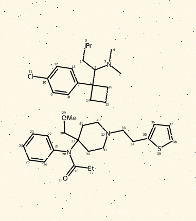 CC(C)CC(N(C)C)C1(c2ccc(Cl)cc2)CCC1.CCC(=O)N(c1ccccc1)C1(COC)CCN(CCc2cccs2)CC1